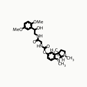 COc1ccc(OC)c(C(O)CNC(=O)CNC(=O)Oc2ccc3c(c2)[C@]2(C)CCN(C)[C@@H]2N3C)c1